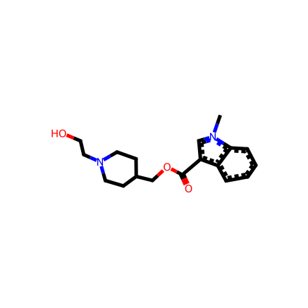 Cn1cc(C(=O)OCC2CCN(CCO)CC2)c2ccccc21